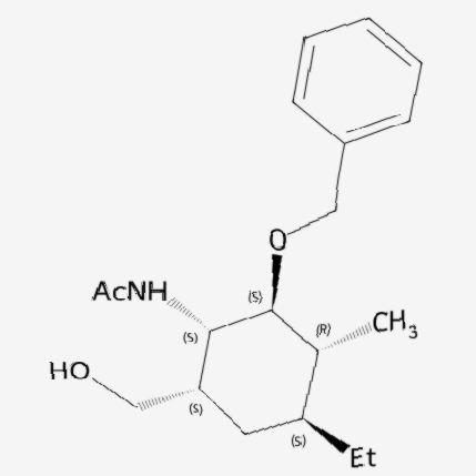 CC[C@H]1C[C@H](CO)[C@H](NC(C)=O)[C@@H](OCc2ccccc2)[C@@H]1C